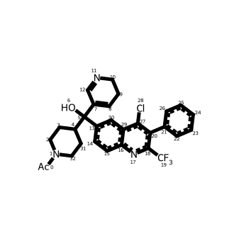 CC(=O)N1CCC(C(O)(C2=CCCN=C2)c2ccc3nc(C(F)(F)F)c(-c4ccccc4)c(Cl)c3c2)CC1